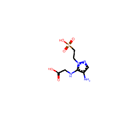 Nc1cnn(CCS(=O)(=O)O)c1NCC(=O)O